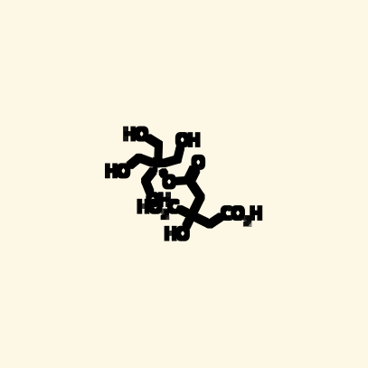 O=C(O)CC(O)(CC(=O)OP(CO)(CO)(CO)CO)C(=O)O